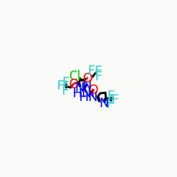 O=C(NC1=CN=C(C(F)(F)F)CC1)Nc1nc(OCC(F)(F)F)c(Cl)c(OCC(F)(F)F)n1